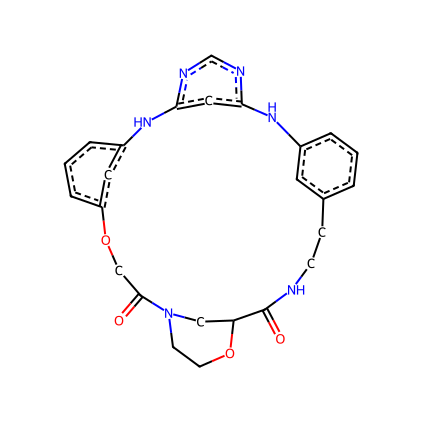 O=C1NCCc2cccc(c2)Nc2cc(ncn2)Nc2cccc(c2)OCC(=O)N2CCOC1C2